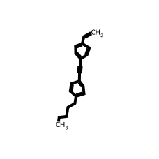 C=Cc1ccc(C#Cc2ccc(CCCCC)cc2)cc1